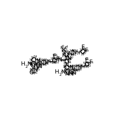 CCN(CC)Cc1nc(N2CCN(CCc3ccc(F)c(F)c3)CC2)c2c(n1)c1c(C#N)cccc1n2C.Cn1c2cccc(C(=N)N)c2c2ncnc(N3CCN(CCc4ccc(F)c(F)c4)CC3)c21.Cn1c2cccc(C(N)=O)c2c2nc(CN3CCOCC3)nc(N3CCN(CCc4ccc(F)c(F)c4)CC3)c21